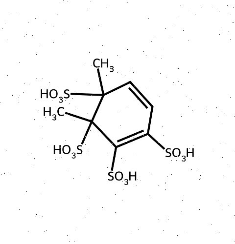 CC1(S(=O)(=O)O)C=CC(S(=O)(=O)O)=C(S(=O)(=O)O)C1(C)S(=O)(=O)O